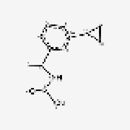 CC(N[S+]([O-])C(C)(C)C)c1cccc(C2CC2)c1